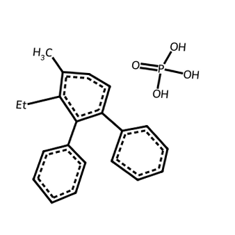 CCc1c(C)ccc(-c2ccccc2)c1-c1ccccc1.O=P(O)(O)O